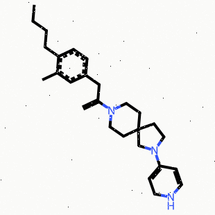 C=C(Cc1ccc(CCCC)c(C)c1)N1CCC2(CC1)CCN(C1=CCNC=C1)C2